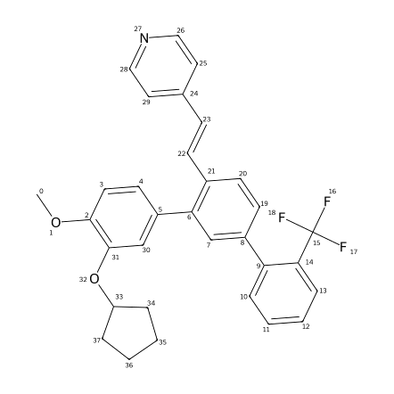 COc1ccc(-c2cc(-c3ccccc3C(F)(F)F)ccc2C=Cc2ccncc2)cc1OC1CCCC1